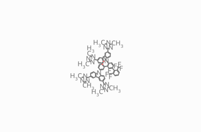 Cc1nc(C)nc(-c2ccc3c(c2)c2cc(-c4nc(C)nc(C)n4)ccc2n3-c2ccc(C#N)c(-c3cc(-c4c(C(F)(F)F)cccc4C(F)(F)F)ccc3-n3c4ccc(-c5nc(C)nc(C)n5)cc4c4cc(-c5nc(C)nc(C)n5)ccc43)c2)n1